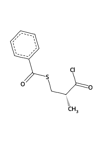 C[C@H](CSC(=O)c1ccccc1)C(=O)Cl